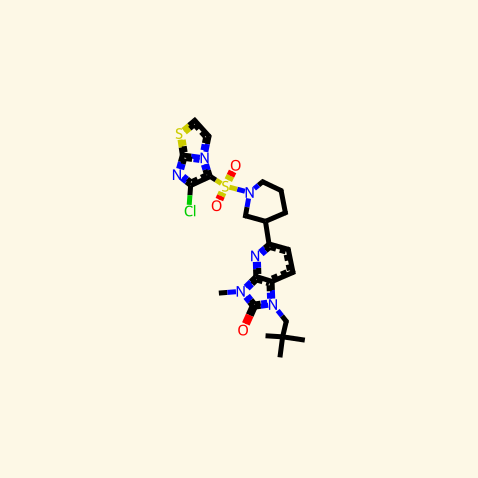 Cn1c(=O)n(CC(C)(C)C)c2ccc(C3CCCN(S(=O)(=O)c4c(Cl)nc5sccn45)C3)nc21